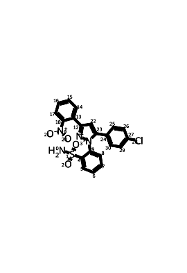 NS(=O)(=O)c1ccccc1-n1nc(-c2ccccc2[N+](=O)[O-])cc1-c1ccc(Cl)cc1